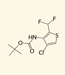 CC(C)(C)OC(=O)Nc1c(Cl)csc1C(F)F